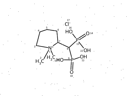 C[N+]1(C)CCCCC1C(P(=O)(O)O)P(=O)(O)O.[Cl-]